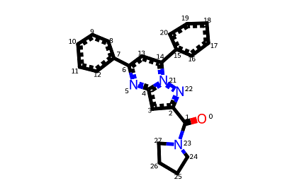 O=C(c1cc2nc(-c3ccccc3)cc(-c3ccccc3)n2n1)N1CCCC1